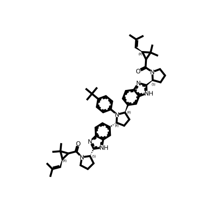 CC(C)=C[C@@H]1C(C(=O)N2CCC[C@H]2c2nc3ccc([C@H]4CC[C@H](c5ccc6nc([C@@H]7CCCN7C(=O)C7[C@@H](C=C(C)C)C7(C)C)[nH]c6c5)N4c4ccc(C(C)(C)C)cc4)cc3[nH]2)C1(C)C